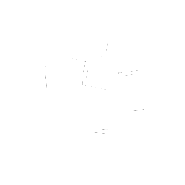 Cn1c2ccc(Cl)cc2c2c([N+](=O)[O-])c(Cl)ccc21